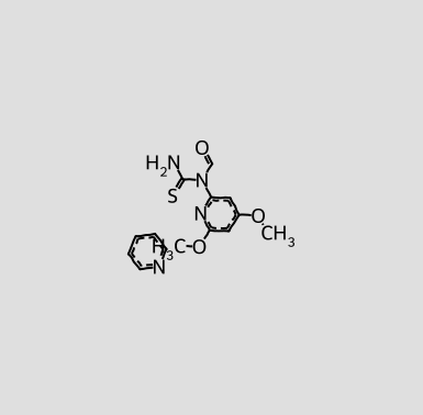 COc1cc(OC)nc(N(C=O)C(N)=S)c1.c1ccncc1